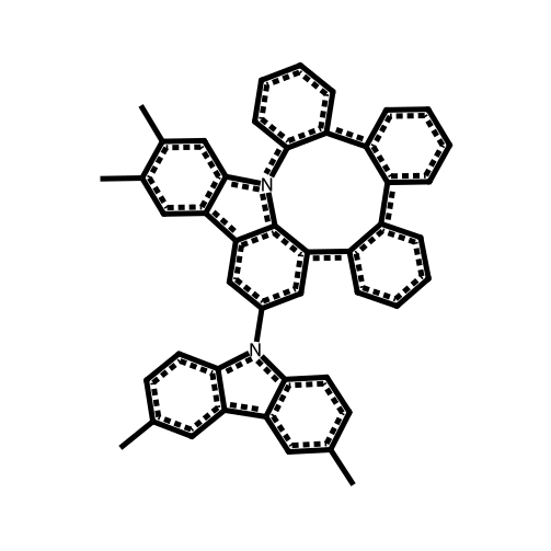 Cc1ccc2c(c1)c1cc(C)ccc1n2-c1cc2c3ccccc3c3ccccc3c3ccccc3n3c4cc(C)c(C)cc4c(c1)c23